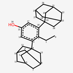 CCc1c(C23CC4CC(CC(C4)C2)C3)cc(O)cc1C12CC3CC(CC(C3)C1)C2